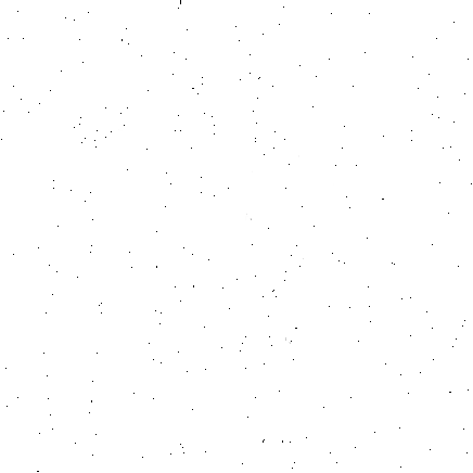 CC(C)(C)C1CC(CO)(OC(N)=O)CCN1S(=O)(=O)c1ccc(Br)cc1